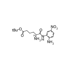 CC(C)(C)OC(=O)CCC[C@H](N)C(=O)Nc1cc([N+](=O)[O-])ccc1N